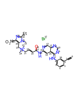 C#Cc1cccc(Nc2ncnc3cnc(NC(=O)/C=C/C[N+](C)(C)Cc4c([N+](=O)[O-])nc(CC)n4C)cc23)c1.[Br-]